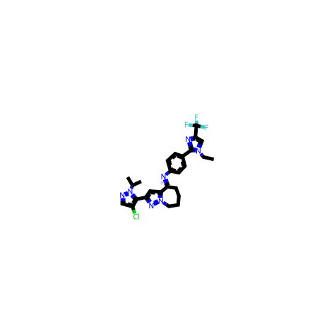 CCn1cc(C(F)(F)F)nc1-c1ccc(/N=C2\CCCCn3nc(-c4c(Cl)cnn4C(C)C)cc32)cc1